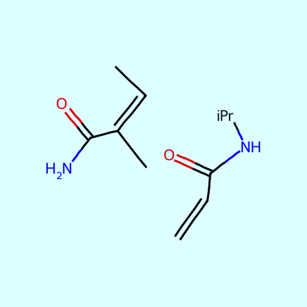 C=CC(=O)NC(C)C.CC=C(C)C(N)=O